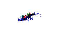 Cn1c(-c2cn(CC#N)nc2C(F)(F)F)cnc1C(=O)Nc1ccc(C(=O)NCCCCN)c(Cl)c1